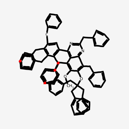 COc1c(OC(Cc2ccccc2)(Cc2ccccc2)Cc2ccccc2)c(Cc2ccccc2)c2nc(Cc3ccccc3)nc(-c3[c]c(Cc4ccccc4)c(Cc4ccccc4)c(Cc4ccccc4)c3Cc3ccccc3)c2c1Cc1ccccc1